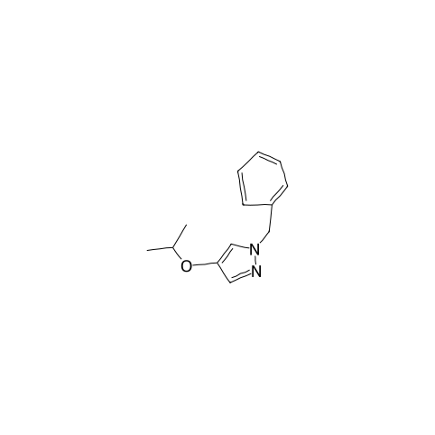 CC(C)Oc1cnn(Cc2ccccc2)c1